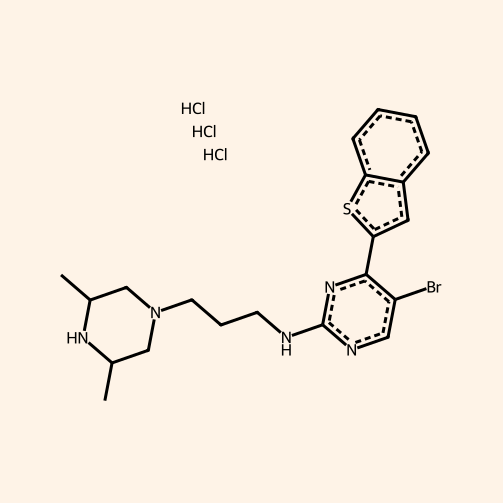 CC1CN(CCCNc2ncc(Br)c(-c3cc4ccccc4s3)n2)CC(C)N1.Cl.Cl.Cl